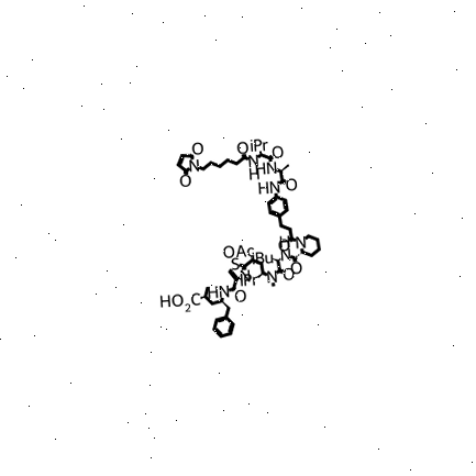 CC[C@H](C)[C@H](NC(=O)[C@H]1CCCCN1C(=O)CCc1ccc(NC(=O)[C@H](C)NC(=O)[C@@H](NC(=O)CCCCCN2C(=O)C=CC2=O)C(C)C)cc1)C(=O)N(C)[C@H](C[C@@H](OC(C)=O)c1nc(C(=O)N[C@@H](Cc2ccccc2)C[C@H](C)C(=O)O)cs1)C(C)C